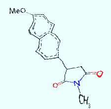 COc1ccc2cc(C3CC(=O)N(C)C3=O)ccc2c1